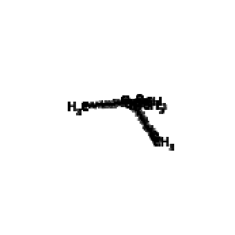 CCCCCCCCC=CCCCCCCCC(=O)OCC(COC(=O)CCN(C)C)OC(=O)CCCCCCCC=CCCCCCCCC